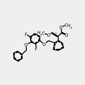 CO/C=C(/C(=O)OC)c1ccccc1COc1ccc(F)c(OCc2ccccc2)c1F